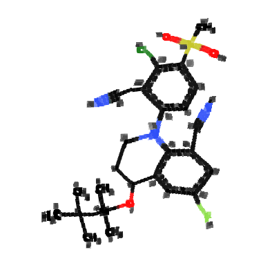 CC(C)(C)[Si](C)(C)OC1CCN(c2ccc(S(C)(=O)=O)c(Cl)c2C#N)c2c(C#N)cc(F)cc21